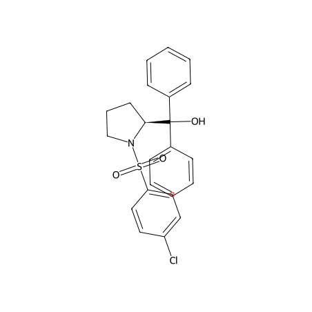 O=S(=O)(c1ccc(Cl)cc1)N1CCC[C@H]1C(O)(c1ccccc1)c1ccccc1